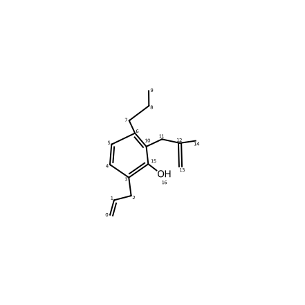 C=CCc1ccc(CCC)c(CC(=C)C)c1O